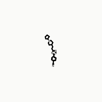 N#Cc1ccc(-c2nc(CCC3CCN(C4CCCC4)CC3)no2)cc1